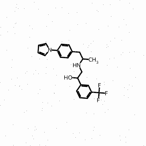 CC(Cc1ccc(-n2cccc2)cc1)NCC(O)c1cccc(C(F)(F)F)c1